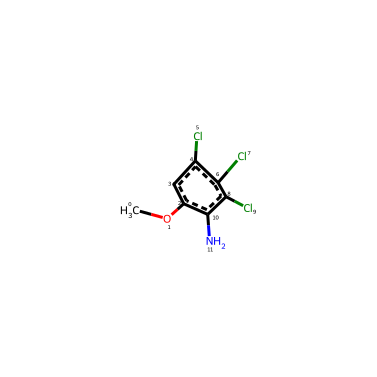 COc1cc(Cl)c(Cl)c(Cl)c1N